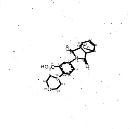 O=C(O)c1cc(N2C(=O)C3C4C=CC(CC4)C3C2=O)ccc1N1CCOCC1